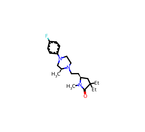 CCC1(CC)C[C@H](CCN2CCN(c3ccc(F)cc3)C[C@@H]2C)N(C)C1=O